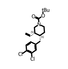 C=C[C@@H]1CN(C(=O)OC(C)(C)C)CC[C@@H]1Cc1ccc(Cl)c(Cl)c1